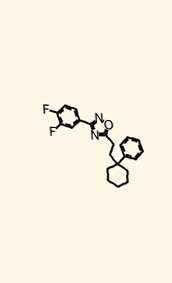 Fc1ccc(-c2noc(CCC3(c4ccccc4)CCCCC3)n2)cc1F